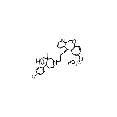 CC1(C)CN(CCC=C2c3cc(OC(=O)O)ccc3OCc3ncccc32)CC[C@@]1(O)c1ccc(Cl)cc1